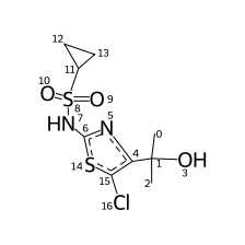 CC(C)(O)c1nc(NS(=O)(=O)C2CC2)sc1Cl